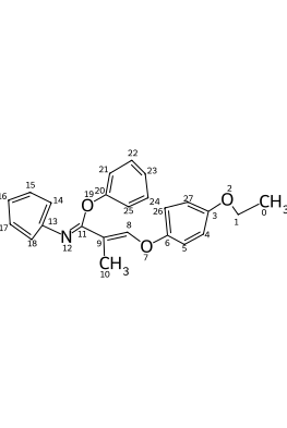 CCOc1ccc(O/C=C(C)/C(=N/c2ccccc2)Oc2ccccc2)cc1